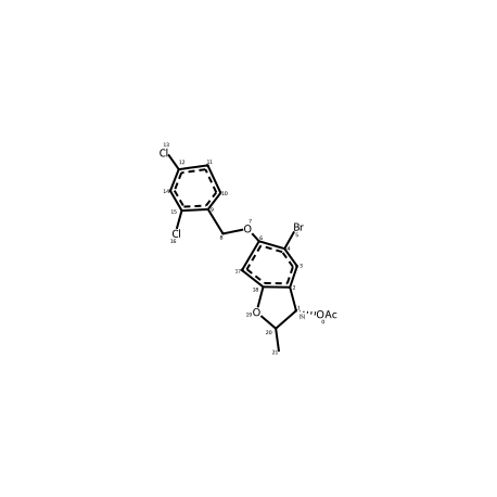 CC(=O)O[C@H]1c2cc(Br)c(OCc3ccc(Cl)cc3Cl)cc2OC1C